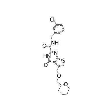 O=C(NCc1cccc(Cl)c1)c1nc2scc(COCC3CCCCO3)c2c(=O)[nH]1